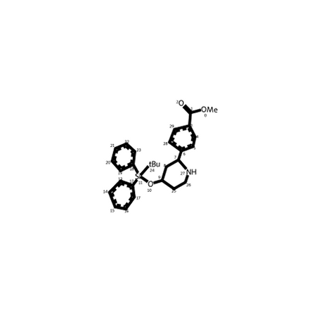 COC(=O)c1ccc(C2CC(O[Si](c3ccccc3)(c3ccccc3)C(C)(C)C)CCN2)cc1